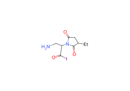 CCC1CC(=O)N(C(CN)C(=O)I)C1=O